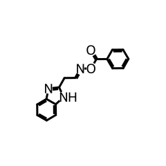 O=C(ON=CCc1nc2ccccc2[nH]1)c1ccccc1